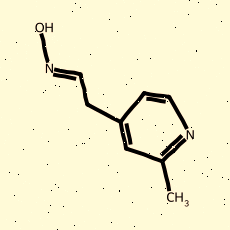 Cc1cc(CC=NO)ccn1